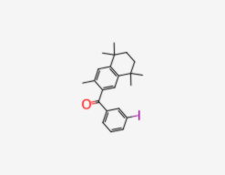 Cc1cc2c(cc1C(=O)c1cccc(I)c1)C(C)(C)CCC2(C)C